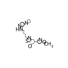 COc1ccc(C(CC=O)Cc2csc(CCCCNc3cc(N4CCCC4)ccn3)n2)cn1